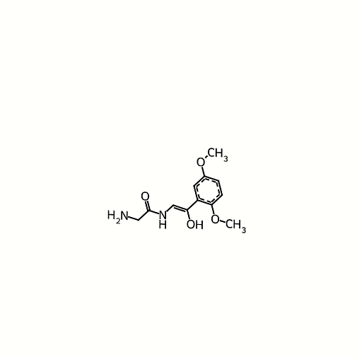 COc1ccc(OC)c(C(O)=CNC(=O)CN)c1